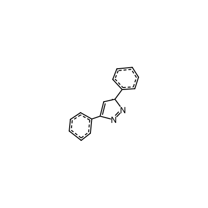 C1=C(c2ccccc2)N=N[C]1c1ccccc1